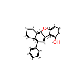 Oc1cccc2oc3c4ccccc4c(-c4ccccc4)cc3c12